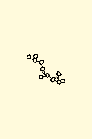 c1ccc(-n2c3cc(-c4ccc5c(c4)c4ccccc4n5-c4ccc(-c5cccc(-c6ccc7c8c(cccc68)-c6ccccc6-7)c5)cc4)ccc3c3ccc4ccccc4c32)cc1